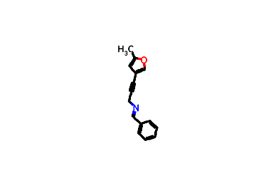 Cc1cc(C#CCN=Cc2ccccc2)co1